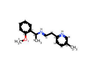 COc1ccccc1C(C)N=CCc1ccc(C)cn1